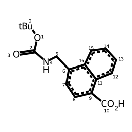 CC(C)(C)OC(=O)NCc1ccc(C(=O)O)c2ccccc12